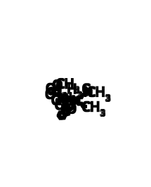 CCCCN(CCCCN(C)C)C(=O)CN1C[C@H](c2cc(OC)c3c(c2)OCO3)[C@@H](C(=O)O)[C@@H]1CCN1C(=O)Cc2ccccc21